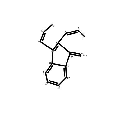 C/C=C\C1=C(/C=C\C)c2ccccc2C1=O